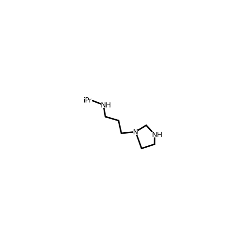 CC(C)NCCCN1CCNC1